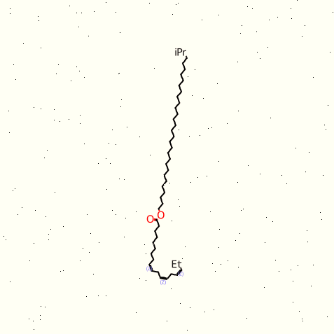 CC/C=C\C/C=C\C/C=C\CCCCCCCC(=O)OCCCCCCCCCCCCCCCCCCCCCCCCCCCCC(C)C